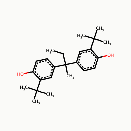 CCC(C)(c1ccc(O)c(C(C)(C)C)c1)c1ccc(O)c(C(C)(C)C)c1